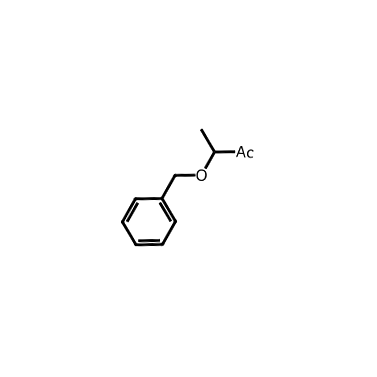 CC(=O)C(C)OCc1ccccc1